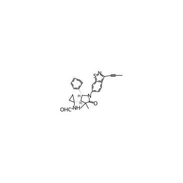 CC#Cc1nsc2cc(N3C(=O)C(C)(C)[C@H](C4(NC=O)CC4)[C@@H]3c3ccccc3)ccc12